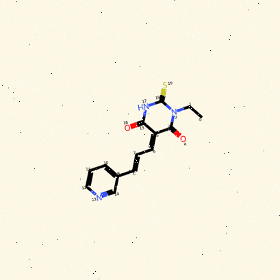 CCN1C(=O)/C(=C/C=C/c2cccnc2)C(=O)NC1=S